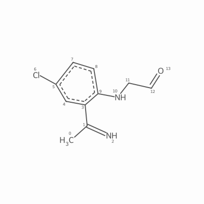 CC(=N)c1cc(Cl)ccc1NCC=O